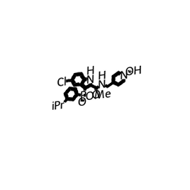 COP(=O)(c1cccc(C(C)C)c1)c1c(C(=O)NCc2cc[n+](O)cc2)[nH]c2ccc(Cl)cc12